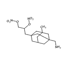 CC12CC3CC(CN)(C1)CC(CC(CO[N+](=O)[O-])O[N+](=O)[O-])(C3)C2